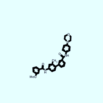 COc1cccc(C(=O)Nc2ccc(-c3cccc(C(=O)Nc4ccc(N5CCOCC5)cc4)c3)c(C)c2)c1